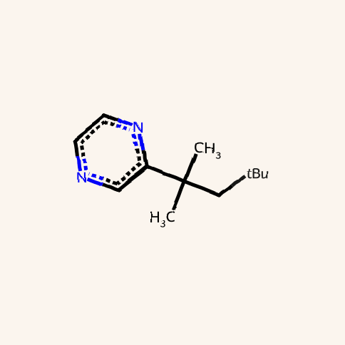 CC(C)(C)CC(C)(C)c1cnccn1